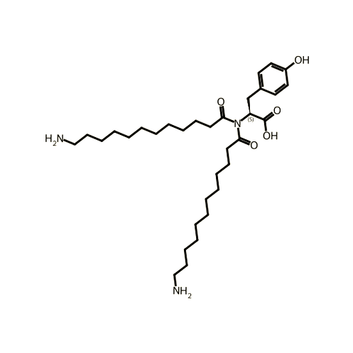 NCCCCCCCCCCCC(=O)N(C(=O)CCCCCCCCCCCN)[C@@H](Cc1ccc(O)cc1)C(=O)O